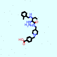 CCC(NCc1ccccc1C)C(NN)C(=O)NCC1CCN(Cc2ccc(C(=O)O)cc2)CC1